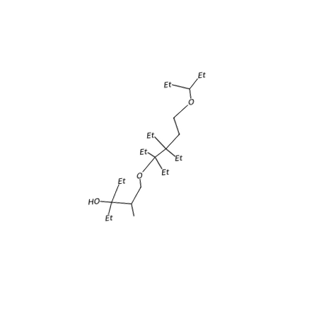 CCC(CC)OCCC(CC)(CC)C(CC)(CC)OCC(C)C(O)(CC)CC